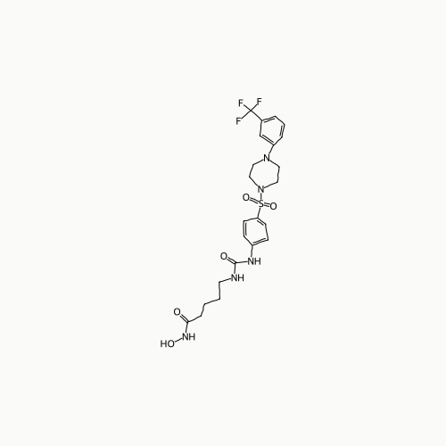 O=C(CCCCNC(=O)Nc1ccc(S(=O)(=O)N2CCN(c3cccc(C(F)(F)F)c3)CC2)cc1)NO